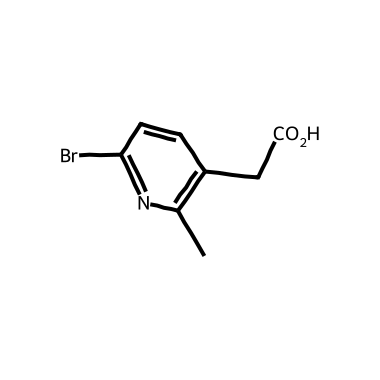 Cc1nc(Br)ccc1CC(=O)O